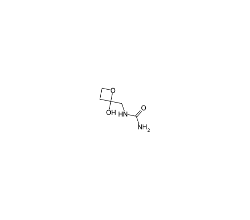 NC(=O)NCC1(O)CCO1